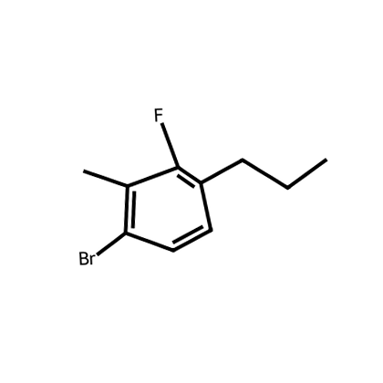 CCCc1ccc(Br)c(C)c1F